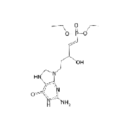 CCOP(=O)(C=CC(O)CCN1CNc2c1nc(N)[nH]c2=O)OCC